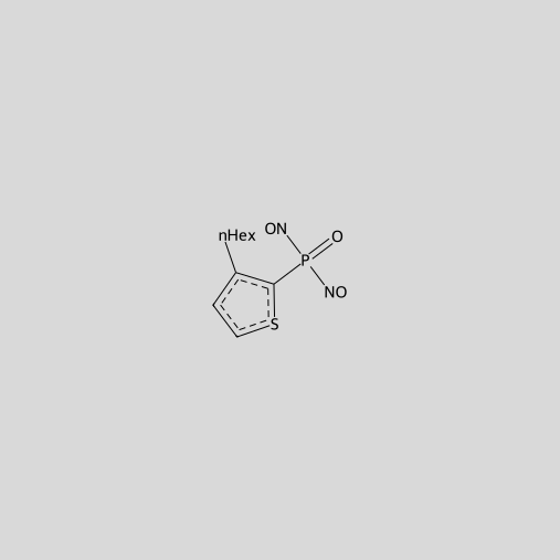 CCCCCCc1ccsc1P(=O)(N=O)N=O